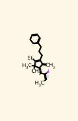 C=C1C(CCCC2=CC=CCC2)=C(CC)C(C)(C)/C1=C/C(I)=C\C